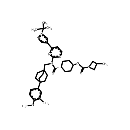 COc1ccc(C23CCC(CN(c4nccc(-c5cnn(C(C)(C)C)c5)n4)C(=O)[C@H]4CC[C@H](OC(=O)N5CC(C)C5)CC4)(CC2)CC3)cc1C